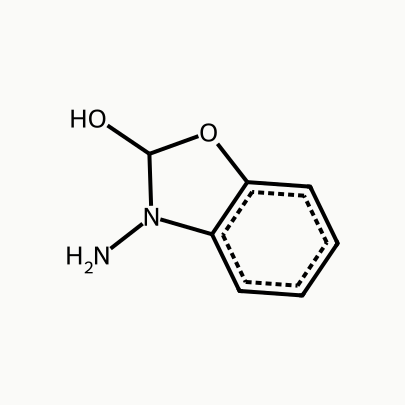 NN1c2ccccc2OC1O